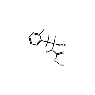 CC(C)(C)OC(=O)N(F)[C@](F)(C(=O)O)C(F)(F)c1ccccc1F